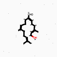 CC(C)=CCCC(C)=CCCC(C=O)=CCCC(C)=CCO